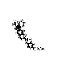 COc1ccc(CNc2ccc3cc4c(cc3n2)[C@]23CCCC[C@@H]2[C@H](C4)N(C)CC3)cc1